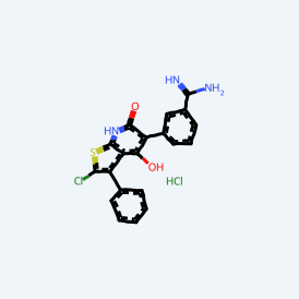 Cl.N=C(N)c1cccc(-c2c(O)c3c(-c4ccccc4)c(Cl)sc3[nH]c2=O)c1